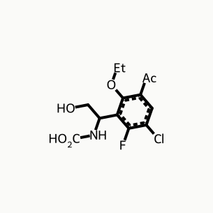 CCOc1c(C(C)=O)cc(Cl)c(F)c1C(CO)NC(=O)O